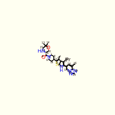 Cc1c(C2CCN(C(=O)[C@@H]3COC(C)(C)CN3)CC2)sc2[nH]c(-c3cc(C)c4ncnn4c3)c(C(C)C)c12